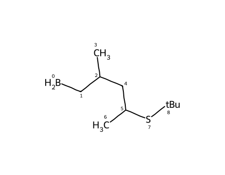 BCC(C)CC(C)SC(C)(C)C